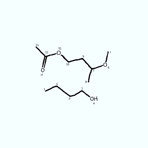 CCCCO.COC(C)CCOC(C)=O